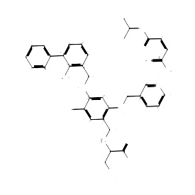 CC(C)OC(=O)/C=C\C(=O)O.O=C(O)C(CO)NCc1cc(Cl)c(OCc2cccc(-c3ccccc3)c2Br)cc1OCc1cccnc1